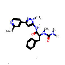 CCN(CC)C(=O)N(C)[C@@H](Cc1ccccc1)C(=O)Nc1cc(-c2ccnc(OC)c2)nn1C